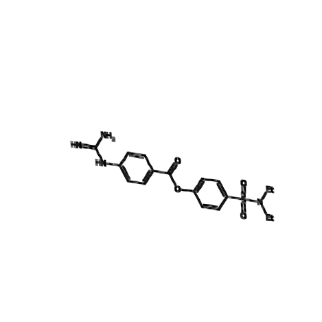 CCN(CC)S(=O)(=O)c1ccc(OC(=O)c2ccc(NC(=N)N)cc2)cc1